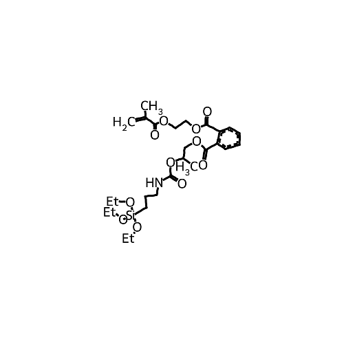 C=C(C)C(=O)OCCOC(=O)c1ccccc1C(=O)OCC(C)OC(=O)NCCC[Si](OCC)(OCC)OCC